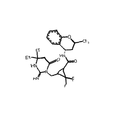 CCC1(CC)CC(=O)N(CC2C(C(=O)N[C@H]3CC(C(F)(F)F)Oc4ccccc43)C2(F)F)C(=N)N1